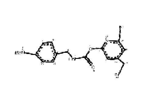 COc1ccc(CNC(=O)Oc2cc(CBr)cc(C)n2)cc1